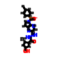 CCC1CC(O)CC1C(=O)NNc1cnc2c(ccn2[S+]([O-])c2ccc(C)cc2)n1